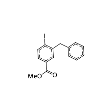 COC(=O)c1ccc(I)c(Cc2ccccc2)c1